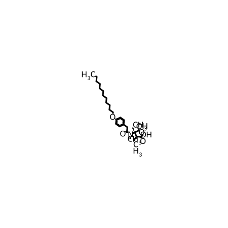 CCCCCCCCCCCCOc1ccc(CC(=O)N(C)[C@](CC)(C(=O)O)C(CC)C(=O)O)cc1